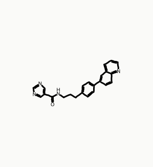 O=C(NCCCc1ccc(-c2ccc3ncccc3c2)cc1)c1cncnc1